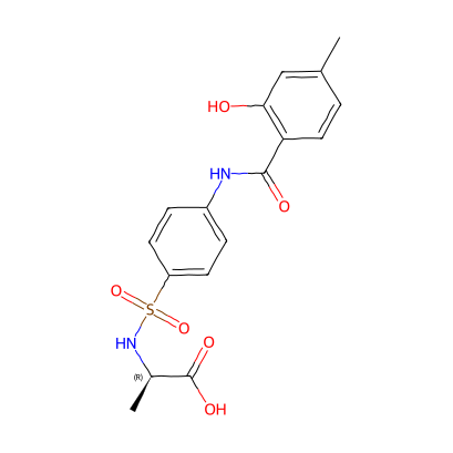 Cc1ccc(C(=O)Nc2ccc(S(=O)(=O)N[C@H](C)C(=O)O)cc2)c(O)c1